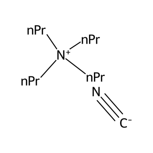 CCC[N+](CCC)(CCC)CCC.[C-]#N